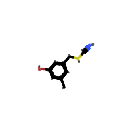 Cc1cc(Br)cc(CSC#N)c1